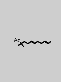 CC=CCCC=CCCC(C)(C)C(C)=O